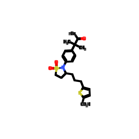 CCCCC(=O)C(C)(C)c1ccc(N2C(CCCc3ccc(C(=O)O)s3)CCS2(=O)=O)cc1